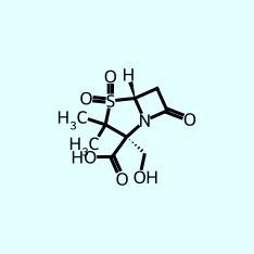 CC1(C)[C@](CO)(C(=O)O)N2C(=O)C[C@H]2S1(=O)=O